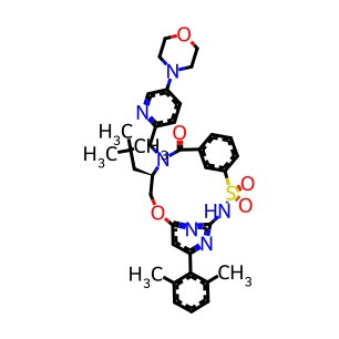 Cc1cccc(C)c1-c1cc2nc(n1)NS(=O)(=O)c1cccc(c1)C(=O)N(Cc1ccc(N3CCOCC3)cn1)[C@H](CC(C)(C)C)CO2